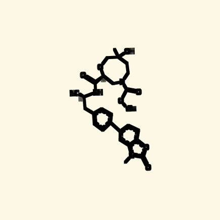 Cn1c(=O)oc2ccc(-c3ccc(C[C@@H](C#N)NC(=O)[C@@H]4CN(C(=O)OC(C)(C)C)CCC(C)(O)CO4)cc3)cc21